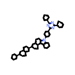 c1ccc(-c2ccc3cc(-c4ccc5c(ccc6c5c5ccccc5n6-c5ccc(-c6nc(-c7ccccc7)nc(-c7ccccc7)n6)cc5)c4)ccc3c2)cc1